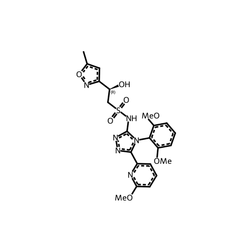 COc1cccc(-c2nnc(NS(=O)(=O)C[C@H](O)c3cc(C)on3)n2-c2c(OC)cccc2OC)n1